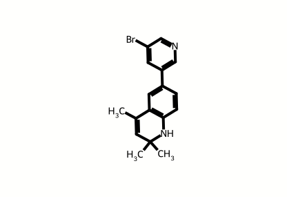 CC1=CC(C)(C)Nc2ccc(-c3cncc(Br)c3)cc21